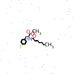 CCCC/C=C/C(=O)N[C@@H](Cc1ccc(F)cc1)C(=O)OC